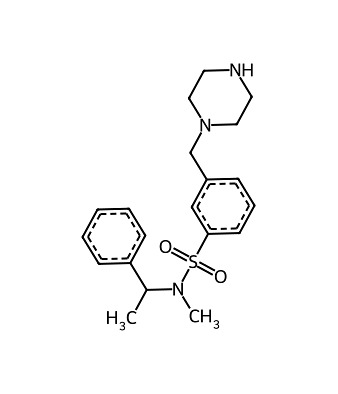 CC(c1ccccc1)N(C)S(=O)(=O)c1cccc(CN2CCNCC2)c1